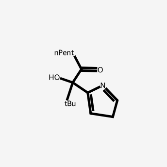 CCCCCC(=O)C(O)(C1=CCC=N1)C(C)(C)C